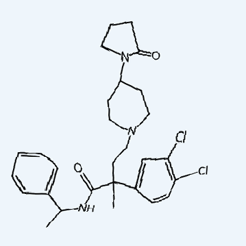 CC(NC(=O)C(C)(CCN1CCC(N2CCCC2=O)CC1)c1ccc(Cl)c(Cl)c1)c1ccccc1